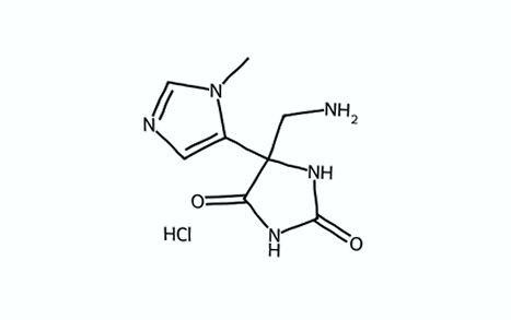 Cl.Cn1cncc1C1(CN)NC(=O)NC1=O